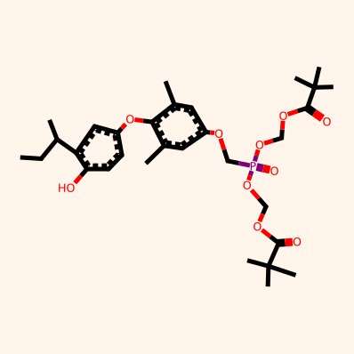 CCC(C)c1cc(Oc2c(C)cc(OCP(=O)(OCOC(=O)C(C)(C)C)OCOC(=O)C(C)(C)C)cc2C)ccc1O